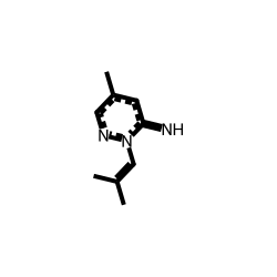 CC(C)=Cn1ncc(C)cc1=N